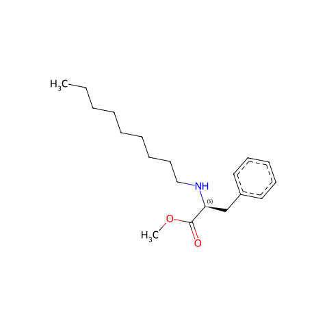 CCCCCCCCCN[C@@H](Cc1ccccc1)C(=O)OC